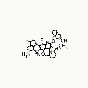 COCC1CCCC2COc3c(Cl)c(-c4ccc(F)c5sc(N)c(C#N)c45)c(F)c4nc(OCC56CCCN5C[C@H](C)C6)nc(c34)N12